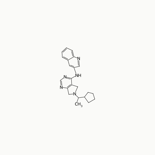 CC(C1CCCC1)N1Cc2ncnc(Nc3cnc4ccccc4c3)c2C1